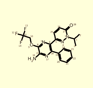 CC(C)n1nc(-c2nc(OCC(F)(F)F)c(N)nc2-c2ccccc2)ccc1=O